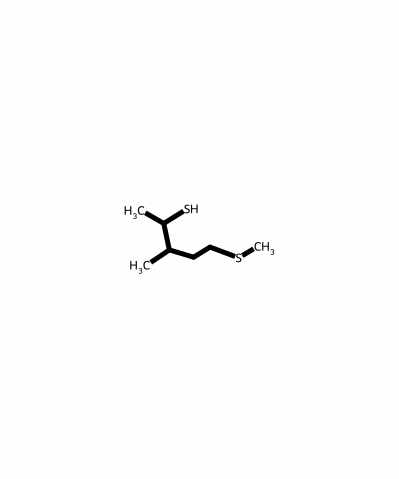 CSCCC(C)C(C)S